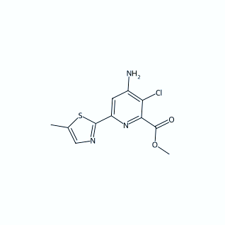 COC(=O)c1nc(-c2ncc(C)s2)cc(N)c1Cl